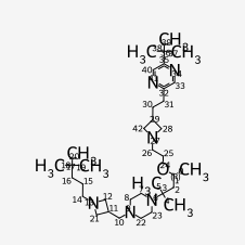 C[C@H](CC(C)(C)N1CCN(CC2CN(CCCC(C)(C)C)C2)CC1)OCCN1CC(CCc2cnc(C(C)(C)C)cn2)C1